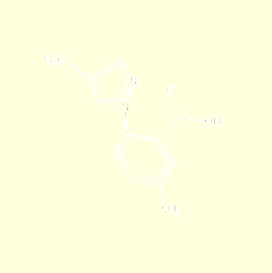 Cc1ccc(-n2cc(C)cn2)c(C(=O)O)c1